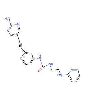 Nc1ncc(C#Cc2cccc(NC(=O)NCCNc3ccccn3)c2)cn1